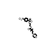 CC(C)(CCN1CCOCC1)C(=O)SCCSS(=O)(=O)c1ccc([N+](=O)[O-])cc1